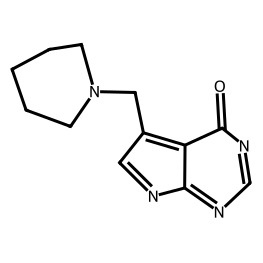 O=C1N=CN=C2N=CC(CN3CCCCC3)=C12